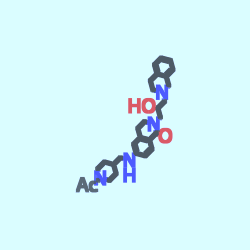 CC(=O)N1CCC(CNc2ccc3c(c2)CCN(CC(O)CN2CCc4ccccc4C2)C3=O)CC1